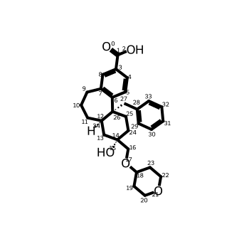 O=C(O)c1ccc2c(c1)CCC[C@@H]1C[C@](O)(COC3CCOCC3)CC[C@]21Cc1ccccc1